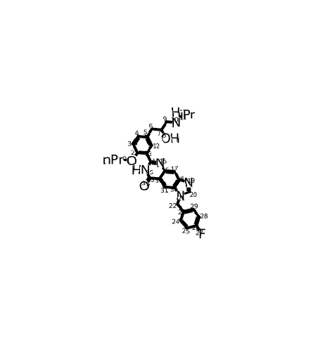 CCCOc1ccc(CC(O)CNC(C)C)cc1-c1nc2cc3ncn(Cc4ccc(F)cc4)c3cc2c(=O)[nH]1